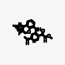 CNc1cc(Nc2cccc(-c3ccn(C)n3)c2OCC(F)(F)F)c(C(=O)NOC)cn1